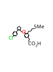 CSCCCCc1cc(CCC(=O)O)ccc1OCC1=C(c2ccc(Cl)cc2)CCC1